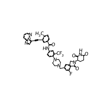 Cc1ccc(C(=O)Nc2ccc(N3CCN(Cc4cc(F)c5c(c4)CN(C4CCC(=O)NC4=O)C5=O)CC3)c(C(F)(F)F)c2)cc1C#Cc1cnc2cccnn12